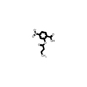 CCCC(=O)Oc1cc([N+](=O)[O-])ccc1C(=O)O